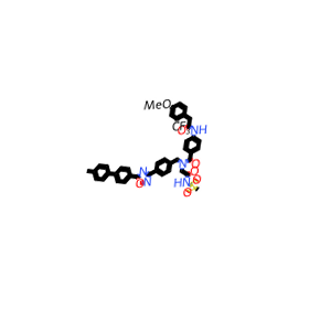 COc1ccc(CC(=O)Nc2ccc(C(=O)N(CC(=O)NS(C)(=O)=O)Cc3ccc(-c4noc(-c5ccc(-c6ccc(C)cc6)cc5)n4)cc3)cc2)c(C(F)(F)F)c1